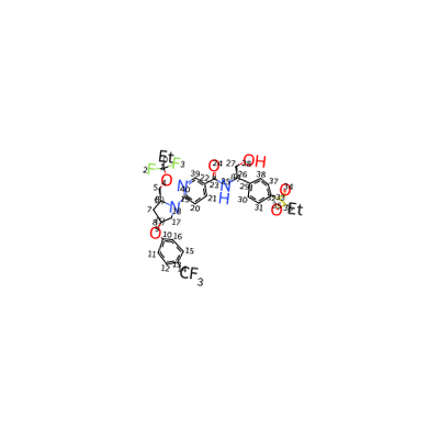 CCC(F)(F)OC[C@@H]1C[C@H](Oc2ccc(C(F)(F)F)cc2)CN1c1ccc(C(=O)N[C@@H](CO)c2ccc(S(=O)(=O)CC)cc2)cn1